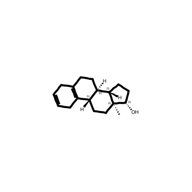 C[C@]12CC[C@@H]3C4=C(CC=CC4)CC[C@H]3[C@@H]1CC[C@@H]2O